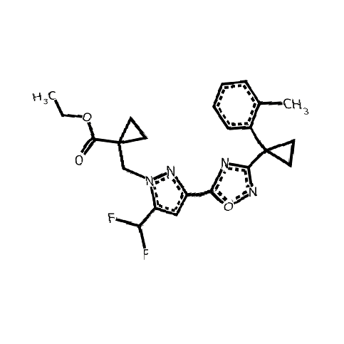 CCOC(=O)C1(Cn2nc(-c3nc(C4(c5ccccc5C)CC4)no3)cc2C(F)F)CC1